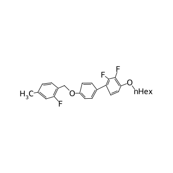 CCCCCCOc1ccc(-c2ccc(OCc3ccc(C)cc3F)cc2)c(F)c1F